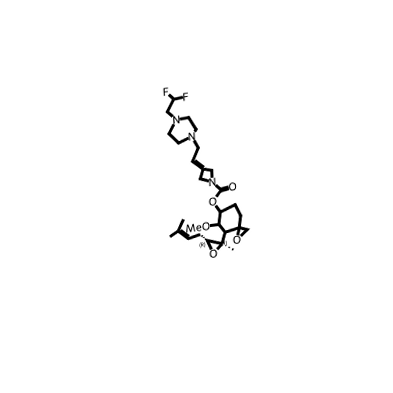 COC1C(OC(=O)N2CC(=CCN3CCN(CC(F)F)CC3)C2)CCC2(CO2)C1[C@@]1(C)O[C@@H]1CC=C(C)C